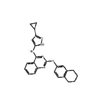 c1ccc2c(Nc3cc(C4CC4)n[nH]3)nc(Oc3ccc4c(c3)CCCC4)nc2c1